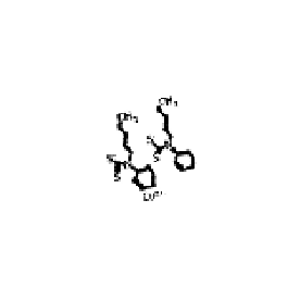 CCCCCN(C(=S)[S-])c1ccccc1.CCCCCN(C(=S)[S-])c1ccccc1.[Cu+2]